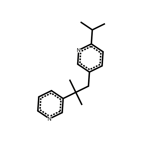 CC(C)c1ccc(CC(C)(C)c2cccnc2)cn1